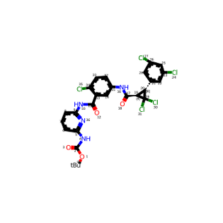 CC(C)(C)OC(=O)Nc1cccc(NC(=O)c2cc(NC(=O)[C@H]3[C@H](c4cc(Cl)cc(Cl)c4)C3(Cl)Cl)ccc2Cl)n1